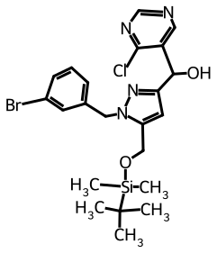 CC(C)(C)[Si](C)(C)OCc1cc(C(O)c2cncnc2Cl)nn1Cc1cccc(Br)c1